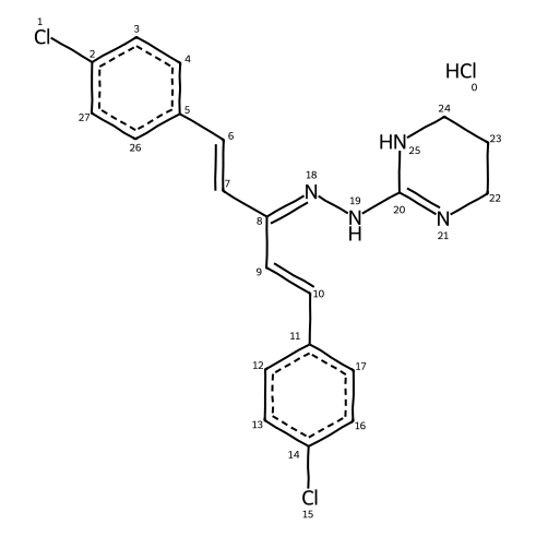 Cl.Clc1ccc(C=CC(C=Cc2ccc(Cl)cc2)=NNC2=NCCCN2)cc1